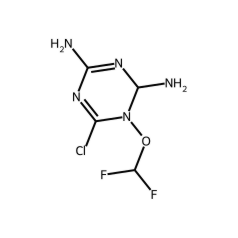 NC1=NC(N)N(OC(F)F)C(Cl)=N1